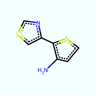 Nc1ccsc1-c1cscn1